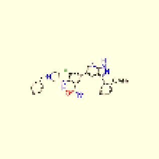 COc1ccccc1-c1n[nH]c2ncc(-c3cc(F)c(N[C@H]4CCN(Cc5ccccc5)C4)c(C(=O)N(C)C)c3)cc12